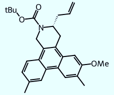 C=CC[C@@H]1Cc2c(c3ccc(C)cc3c3cc(C)c(OC)cc23)CN1C(=O)OC(C)(C)C